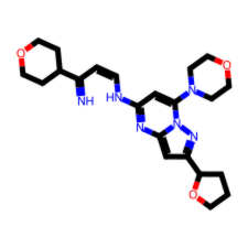 N=C(/C=C\Nc1cc(N2CCOCC2)n2nc(C3CCCO3)cc2n1)C1CCOCC1